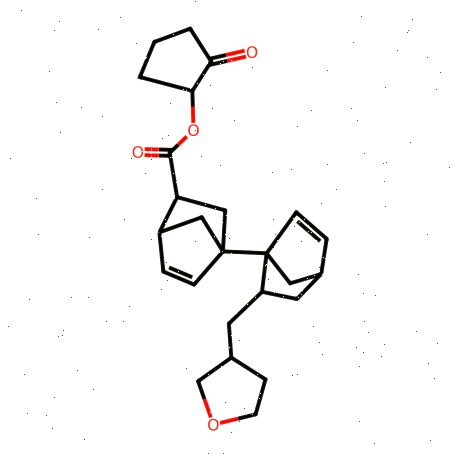 O=C1CCCC1OC(=O)C1CC2(C34C=CC(CC3CC3CCOC3)C4)C=CC1C2